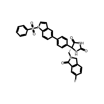 O=C1NC(=O)[C@](CN2Cc3ccc(F)cc3C2=O)(c2ccc(-c3ccc4c(ccn4S(=O)(=O)c4ccccc4)c3)cc2)N1